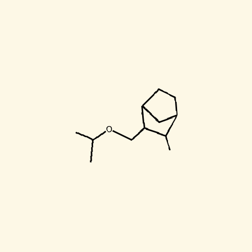 CC(C)OCC1C2CCC(C2)C1C